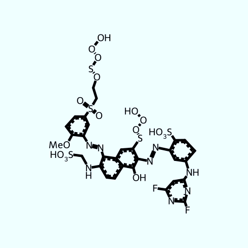 COc1ccc(S(=O)(=O)CCOSOOO)cc1/N=N/c1c(NCS(=O)(=O)O)ccc2c(O)c(/N=N/c3cc(Nc4cc(F)nc(F)n4)ccc3S(=O)(=O)O)c(SOOO)cc12